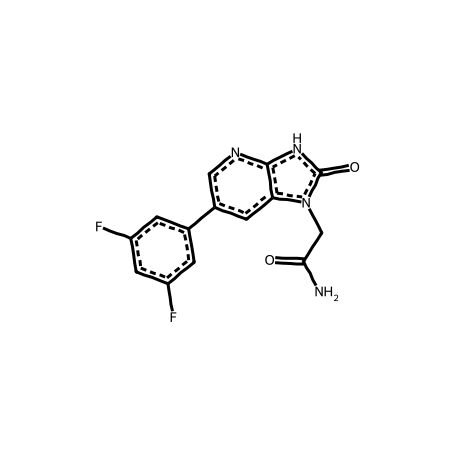 NC(=O)Cn1c(=O)[nH]c2ncc(-c3cc(F)cc(F)c3)cc21